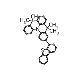 CC1(C)c2ccccc2N2c3ccc(-c4cccc5c4sc4ccccc45)cc3C(C)(C)c3cccc1c32